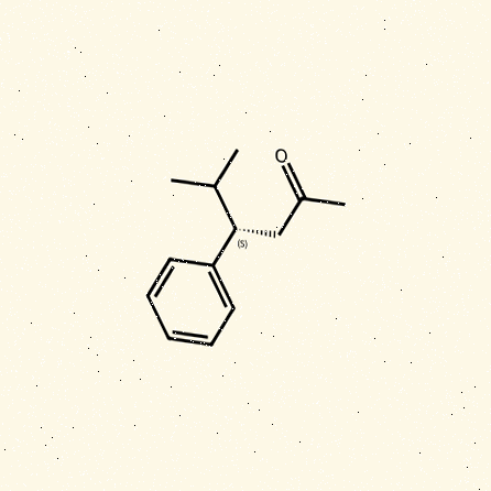 CC(=O)C[C@H](c1ccccc1)C(C)C